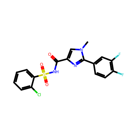 Cn1cc(C(=O)NS(=O)(=O)c2ccccc2Cl)nc1-c1ccc(F)c(F)c1